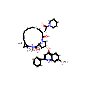 CCOC(=O)[C@@]12C[C@H]1/C=C\CCCCC[C@H](CC(=O)N1CCCCC1)C(=O)N1C[C@H](Oc3cc(-c4ccccc4)nc4cc(OC)ccc34)C[C@H]1C(=O)N2